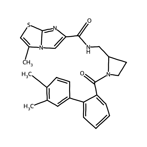 Cc1ccc(-c2ccccc2C(=O)N2CCC2CNC(=O)c2cn3c(C)csc3n2)cc1C